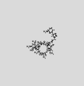 CC[C@H]1OC(=O)[C@@](C)(F)C(=O)[C@H](C)[C@@H](O[C@@H]2O[C@H](C)CC(N)C2O)[C@](C)(OC)C[C@@H](C)C(=O)[C@H](C)[C@H]2N(CC#CCn3cc(-c4cccc(N)n4)nn3)C(=O)O[C@]12C